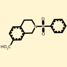 O=C(O)c1ccc2c(c1)CN(S(=O)(=O)c1ccccc1)CC2